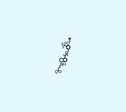 COC(=O)CCCNC1CCCc2c(/C(C)=N/OCc3ccc(OCC4CC4)c(C(F)(F)F)c3)cccc21